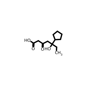 CCC(O)(CC(=O)CC(=O)O)C1CCCC1